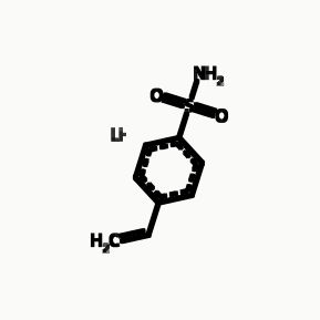 C=Cc1ccc(S(N)(=O)=O)cc1.[Li]